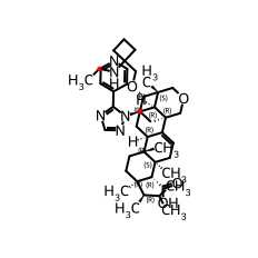 CCNC1(CO[C@H]2[C@H](n3ncnc3-c3ccncc3)C[C@@]34COC[C@]2(C)[C@@H]3CC[C@H]2C4=CC[C@@]3(C)[C@H](C(=O)O)[C@@](C)([C@H](C)C(C)C)CC[C@]23C)CCC1